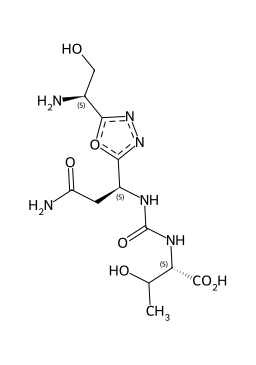 CC(O)[C@H](NC(=O)N[C@@H](CC(N)=O)c1nnc([C@@H](N)CO)o1)C(=O)O